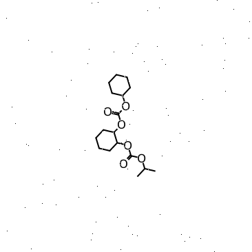 CC(C)OC(=O)OC1CCCCC1OC(=O)OC1CCCCC1